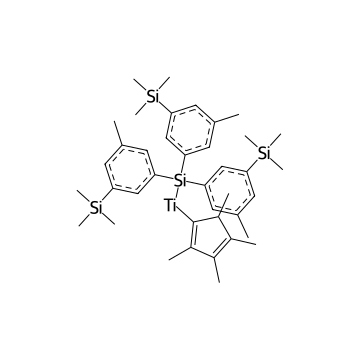 CC1=C(C)C(C)[C]([Ti][Si](c2cc(C)cc([Si](C)(C)C)c2)(c2cc(C)cc([Si](C)(C)C)c2)c2cc(C)cc([Si](C)(C)C)c2)=C1C